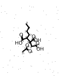 CCCCC(C(=O)O)C(CC(=O)O)(OC(C)=O)C(=O)O